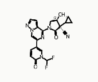 C[C@@H]1CN(c2nc(-c3ccc(=O)n(C(F)F)c3)cn3nccc23)C(=O)[C@]1(C#N)C1CC1